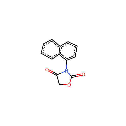 O=C1COC(=O)N1c1cccc2ccccc12